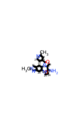 Cc1cc(C2OC=C(C(N)=O)N2c2cc3cn(C)nc3cc2N2CCC2)ccn1